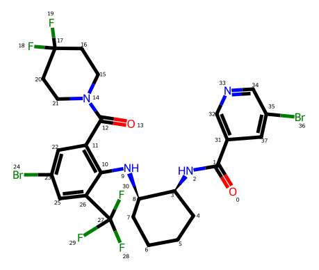 O=C(N[C@H]1CCCC[C@H]1Nc1c(C(=O)N2CCC(F)(F)CC2)cc(Br)cc1C(F)(F)F)c1cncc(Br)c1